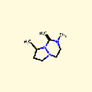 C=C1N(C)CCN2CCC(C)N12